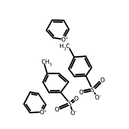 Cc1ccc(S(=O)(=O)[O-])cc1.Cc1ccc(S(=O)(=O)[O-])cc1.c1cc[o+]cc1.c1cc[o+]cc1